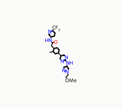 COCCn1cc(Nc2ncc(-c3ccc(CC(=O)Nc4ccc(C(F)(F)F)nc4)c(C)c3)cn2)cn1